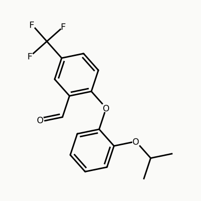 CC(C)Oc1ccccc1Oc1ccc(C(F)(F)F)cc1C=O